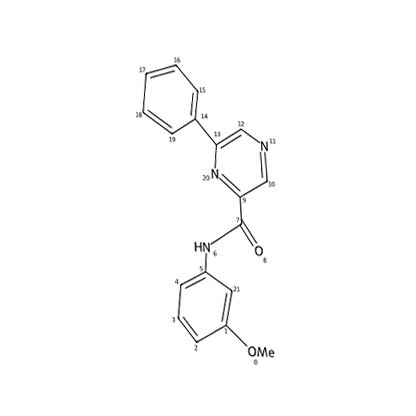 COc1cccc(NC(=O)c2cncc(-c3ccccc3)n2)c1